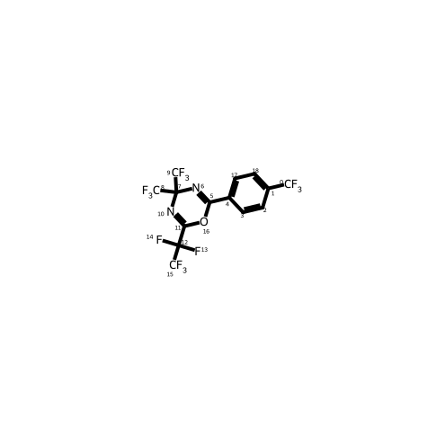 FC(F)(F)c1ccc(C2=NC(C(F)(F)F)(C(F)(F)F)N=C(C(F)(F)C(F)(F)F)O2)cc1